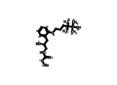 CC(C)(C)OC(=O)NC[C@@H](O)Cc1ccccc1OCCCC(C)(C)[Si](C)(C)O